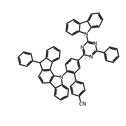 N#Cc1ccc(-c2cc(-c3nc(-c4ccccc4)nc(-n4c5ccccc5c5ccccc54)n3)ccc2-n2c3ccccc3c3ccc4c(c32)-c2ccccc2C4c2ccccc2)cc1